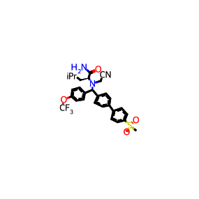 CC(C)C[C@@H](C(N)=O)N(CC#N)[C@H](c1ccc(OC(F)(F)F)cc1)c1ccc(-c2ccc(S(C)(=O)=O)cc2)cc1